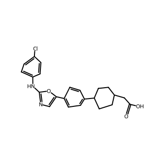 O=C(O)CC1CCC(c2ccc(-c3cnc(Nc4ccc(Cl)cc4)o3)cc2)CC1